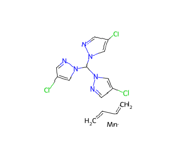 C=CC=C.Clc1cnn(C(n2cc(Cl)cn2)n2cc(Cl)cn2)c1.[Mn]